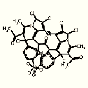 CC(=O)C1=C(C)N2C(=C(C(C)C(=O)C(C)C3=C4C(Cl)=C(Cl)C(Cl)N4C(C)=C(C(C)=O)C3(Cl)c3ccc([N+](=O)[O-])cc3)C1(Cl)c1ccc([N+](=O)[O-])cc1)C(Cl)=C(Cl)C2Cl